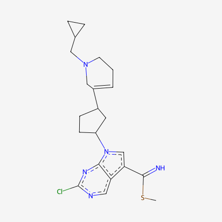 CSC(=N)c1cn(C2CCC(C3=CCCN(CC4CC4)C3)C2)c2nc(Cl)ncc12